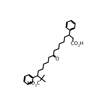 CC(C)(C(=O)O)C(CCCCCC(=O)CCCCCC(CC(=O)O)c1ccccc1)c1ccccc1